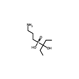 CCC(O)(CC)P(=O)(O)CCCN